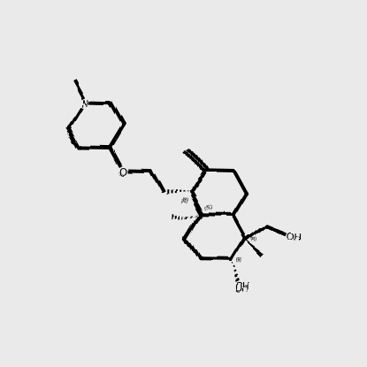 C=C1CCC2[C@](C)(CO)[C@H](O)CC[C@@]2(C)[C@@H]1CCOC1CCN(C)CC1